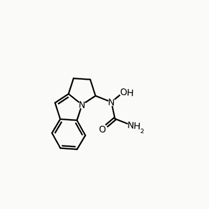 NC(=O)N(O)C1CCc2cc3ccccc3n21